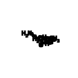 C[C@]12CCC(CC=CCN)CC1C(=O)C[C@@H]1[C@H]2CC[C@]2(C)C(=O)CC[C@@H]12